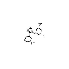 CC(C)[C@@H]1CCC[C@H](c2nccn2CC2C[C@@H](C)C[C@@H](C3CC3)C2)C1